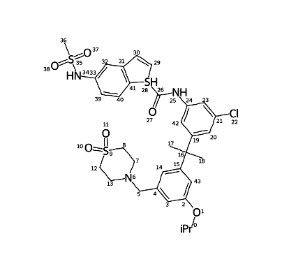 CC(C)Oc1cc(CN2CCS(=O)(=O)CC2)cc(C(C)(C)c2cc(Cl)cc(NC(=O)[SH]3C=Cc4cc(NS(C)(=O)=O)ccc43)c2)c1